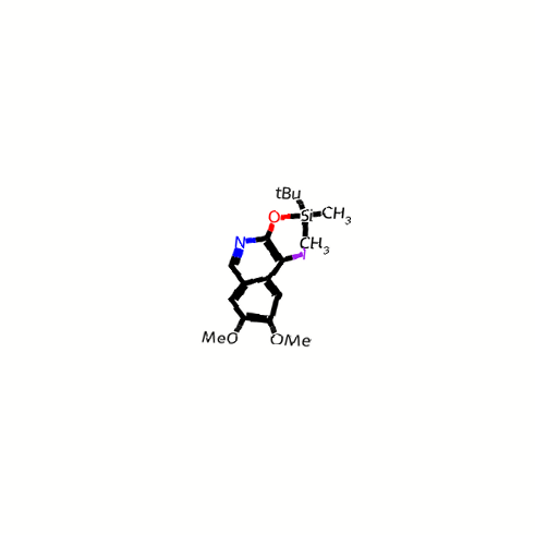 COc1cc2cnc(O[Si](C)(C)C(C)(C)C)c(I)c2cc1OC